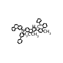 C=C(c1ccccc1)c1ccccc1-c1cc(-c2ccc3c(c2)C(C)(C)c2cc(N(c4ccc(-c5ccccc5)cc4)c4ccc5ccc6ccccc6c5c4)ccc2-3)ccc1C